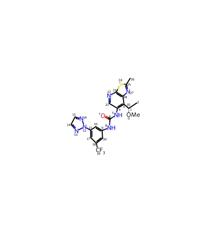 CO[C@@H](C)c1c(NC(=O)Nc2cc(-n3nccn3)cc(C(F)(F)F)c2)cnc2sc(C)nc12